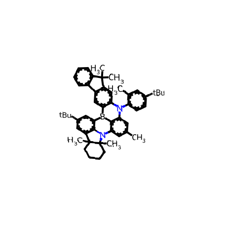 Cc1cc2c3c(c1)N1c4c(cc(C(C)(C)C)cc4C4(C)CCCCC14C)B3c1cc3c(cc1N2c1ccc(C(C)(C)C)cc1C)C(C)(C)c1ccccc1-3